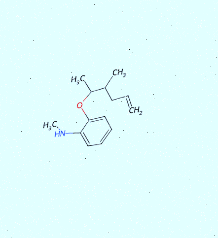 C=CCC(C)C(C)Oc1ccccc1NC